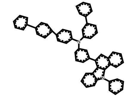 c1ccc(-c2ccc(-c3ccc(N(c4cccc(-c5ccccc5)c4)c4cccc(-c5cc6ccccc6c6c5c5ccccc5n6-c5ccccc5)c4)cc3)cc2)cc1